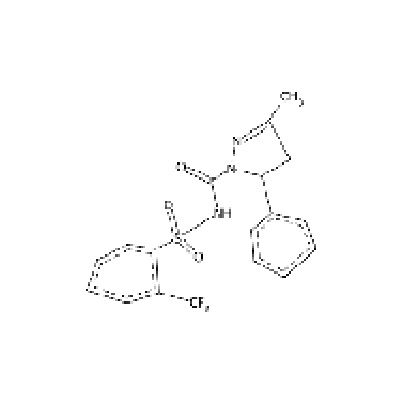 CC1=NN(C(=O)NS(=O)(=O)c2ccccc2C(F)(F)F)C(c2ccccc2)C1